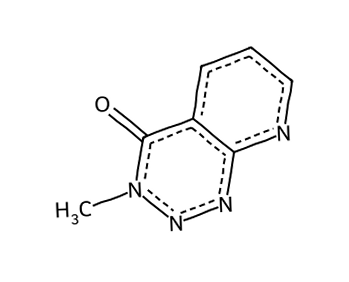 Cn1nnc2ncccc2c1=O